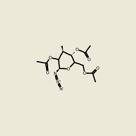 CC(=O)OCC1O[C@@H](N=[N+]=[N-])C(OC(C)=O)[C@@H](C)[C@@H]1OC(C)=O